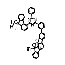 CC(C)C1(C)c2ccccc2-c2ccc3c(oc4cc(-c5cccc(-c6nc(-c7ccccc7)nc(-c7cccc8c7-c7ccccc7C8(C)C)n6)c5)ccc43)c21